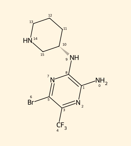 Nc1nc(C(F)(F)F)c(Br)nc1N[C@H]1CCCNC1